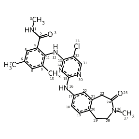 CNC(=O)c1cc(C)cc(C)c1Nc1nc(Nc2ccc3c(c2)CC(=O)N(C)CC3)ncc1Cl